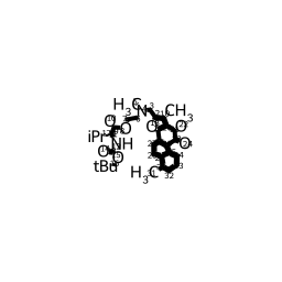 Cc1c(CN(C)CCOC(=O)[C@@H](NC(=O)OC(C)(C)C)C(C)C)oc2c1C(=O)C(=O)c1c-2ccc2c(C)cccc12